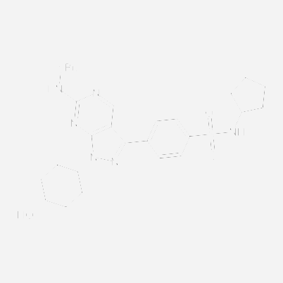 CCCCNc1ncc2c(-c3ccc(S(=O)(=O)NC4CCCC4)cc3)nn([C@H]3CC[C@@H](O)CC3)c2n1